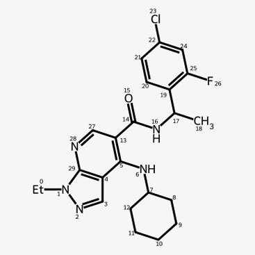 CCn1ncc2c(NC3CCCCC3)c(C(=O)NC(C)c3ccc(Cl)cc3F)cnc21